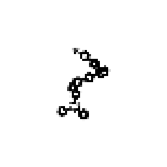 N#Cc1ccc(-c2ccc(C34CC5CC(C3)CC(c3ccc(-c6ccc7ccc8cc(-c9nc(-c%10ccccc%10)nc(-c%10ccccc%10)n9)ccc8c7c6)cc3)(C5)C4)cc2)cc1